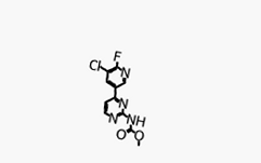 COC(=O)Nc1nccc(-c2cnc(F)c(Cl)c2)n1